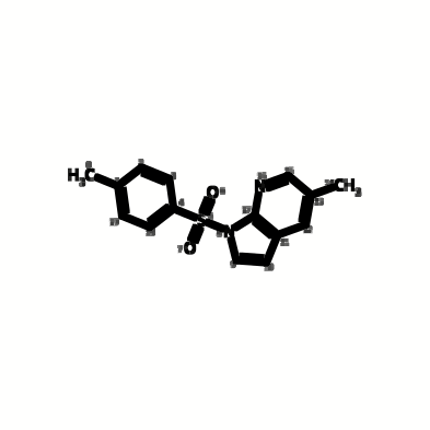 Cc1ccc(S(=O)(=O)n2ccc3cc(C)cnc32)cc1